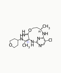 C/C(NC1CCOCC1)=C1\Nc2ncc(Cl)c(n2)N[C@H](C)CCOC1=N